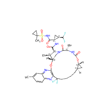 CC[C@@H]1[C@@H]2CN(C(=O)[C@H](C(C)(C)C)NC(=O)O[C@@H]3C[C@H]3CCCCC(F)(F)c3nc4ccc(C#N)cc4nc3O2)[C@@H]1C(=O)N[C@]1(C(=O)NS(=O)(=O)C2(C)CC2)C[C@H]1C(F)F